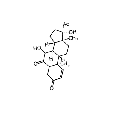 CC(=O)[C@@]1(O)CC[C@H]2[C@@H]3C(O)C(=O)C4CC(=O)C=C[C@]4(C)[C@H]3CC[C@@]21C